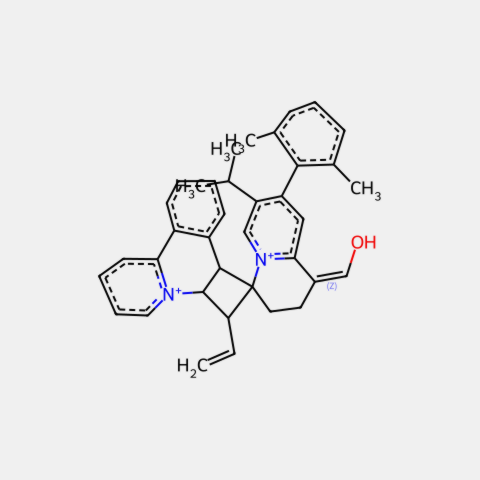 C=CC1C2C(c3ccccc3-c3cccc[n+]32)C12CC/C(=C/O)c1cc(-c3c(C)cccc3C)c(C(C)C)c[n+]12